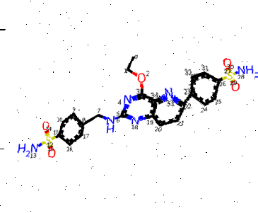 CCOc1nc(NCc2ccc(S(N)(=O)=O)cc2)nc2ccc(-c3ccc(S(N)(=O)=O)cc3)nc12